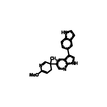 COC1=CCC(C)(c2cnc3[nH]cc(-c4ccc5[nH]ccc5c4)c3c2)C=N1